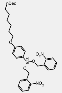 CCCCCCCCCCCCCCCCOc1ccc([SiH](OCc2ccccc2[N+](=O)[O-])OCc2ccccc2[N+](=O)[O-])cc1